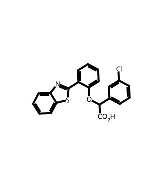 O=C(O)C(Oc1ccccc1-c1nc2ccccc2s1)c1cccc(Cl)c1